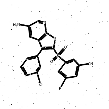 N#Cc1cc(F)cc(S(=O)(=O)c2sc3ncc(N)cc3c2-c2cccc(Cl)c2)c1